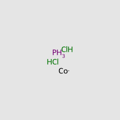 Cl.Cl.P.[Co]